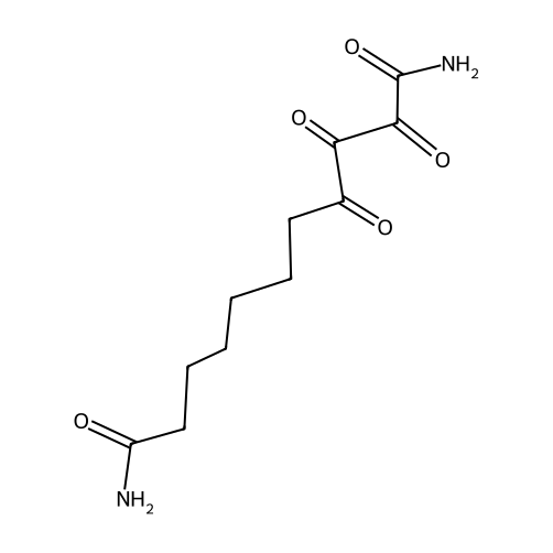 NC(=O)CCCCCCC(=O)C(=O)C(=O)C(N)=O